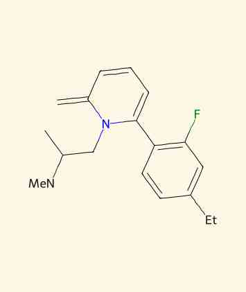 C=C1C=CC=C(c2ccc(CC)cc2F)N1CC(C)NC